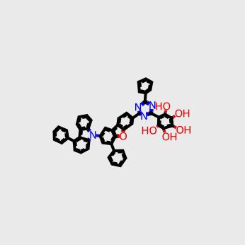 Oc1c(O)c(O)c(-c2nc(-c3ccccc3)nc(-c3ccc4c(c3)oc3c(-c5ccccc5)cc(-n5c6ccccc6c6c(-c7ccccc7)cccc65)cc34)n2)c(O)c1O